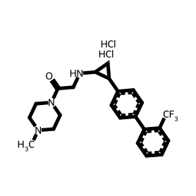 CN1CCN(C(=O)CNC2CC2c2ccc(-c3ccccc3C(F)(F)F)cc2)CC1.Cl.Cl